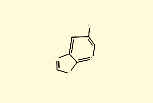 O=[N+]([O-])c1cnc2[nH][c]nc2c1